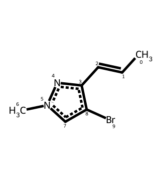 C/C=C/c1nn(C)cc1Br